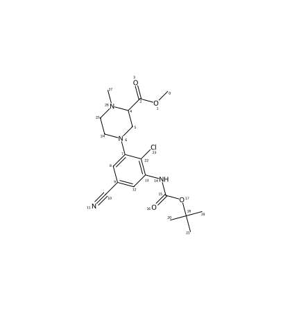 COC(=O)C1CN(c2cc(C#N)cc(NC(=O)OC(C)(C)C)c2Cl)CCN1C